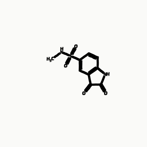 CNS(=O)(=O)c1ccc2c(c1)C(=O)C(=O)N2